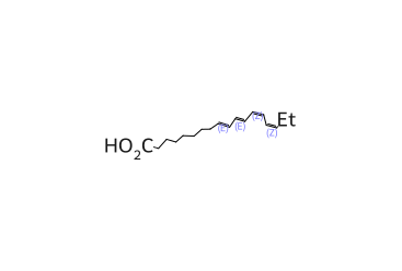 CC\C=C/C=C\C=C\C=C\CCCCCCCC(=O)O